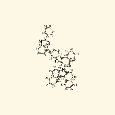 c1ccc(-c2nc3cccc(-c4ccc5c(c4)oc4c(-n6c7ccc8ccccc8c7c7c8ccccc8ccc76)cc6ccccc6c45)c3o2)cc1